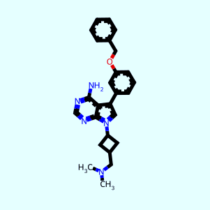 CN(C)CC1CC(n2cc(-c3cccc(OCc4ccccc4)c3)c3c(N)ncnc32)C1